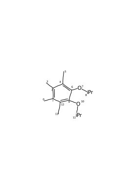 Cc1c(C)c(C)c(OC(C)C)c(OC(C)C)c1C